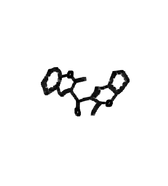 C=C1Oc2ccccc2C=C1C(=O)C1=Cc2ccccc2OC1=C